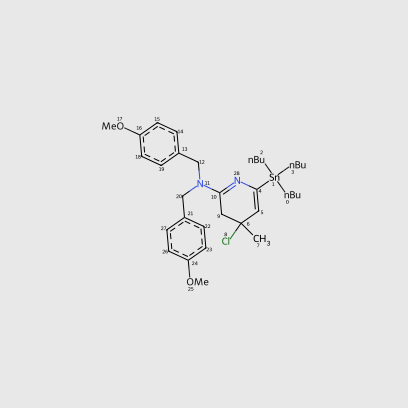 CCC[CH2][Sn]([CH2]CCC)([CH2]CCC)[C]1=CC(C)(Cl)CC(N(Cc2ccc(OC)cc2)Cc2ccc(OC)cc2)=N1